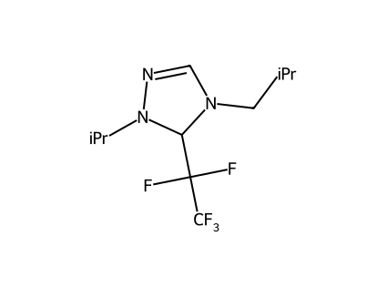 CC(C)CN1C=NN(C(C)C)C1C(F)(F)C(F)(F)F